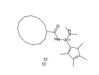 CC1=C(C)C(C)[C]([Zr+2]([NH]C(=O)C2CCCCCCCCCCC2)[SiH](C)C)=C1C.[Cl-].[Cl-]